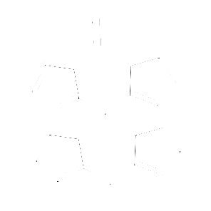 C1=CC[C]([V+][C]2=CC=CC2)=C1.C1=CC[C]([V+][C]2=CC=CC2)=C1.[Cl-].[Cl-]